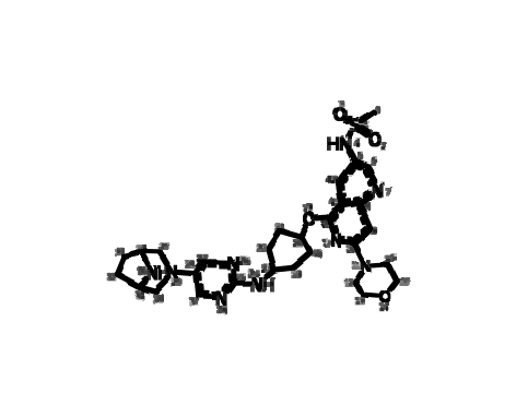 CS(=O)(=O)Nc1cnc2cc(N3CCOCC3)nc(OC3CCC(Nc4ncc(N5CC6CCC(C5)N6)cn4)CC3)c2c1